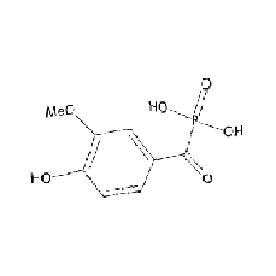 COc1cc(C(=O)P(=O)(O)O)ccc1O